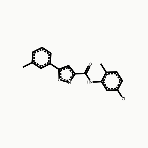 Cc1cccc(-c2cc(C(=O)Nc3cc(Cl)ccc3C)no2)c1